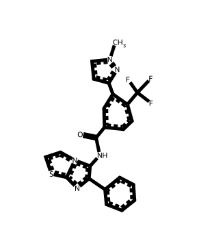 Cn1ccc(-c2cc(C(=O)Nc3c(-c4ccccc4)nc4sccn34)ccc2C(F)(F)F)n1